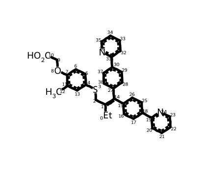 CCC(CSc1ccc(OCC(=O)O)c(C)c1)=C(c1ccc(-c2ccccn2)cc1)c1ccc(-c2ccccn2)cc1